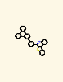 c1cc(-c2ccc3c4ccccc4c4ccccc4c3c2)cc(-c2nc3ccccc3c3c2sc2ccccc23)c1